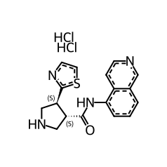 Cl.Cl.O=C(Nc1cccc2cnccc12)[C@@H]1CNC[C@H]1c1nccs1